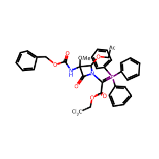 COC1(NC(=O)OCc2ccccc2)C(=O)N(C(C(=O)OCC(Cl)(Cl)Cl)=P(c2ccccc2)(c2ccccc2)c2ccccc2)C1OCC(C)=O